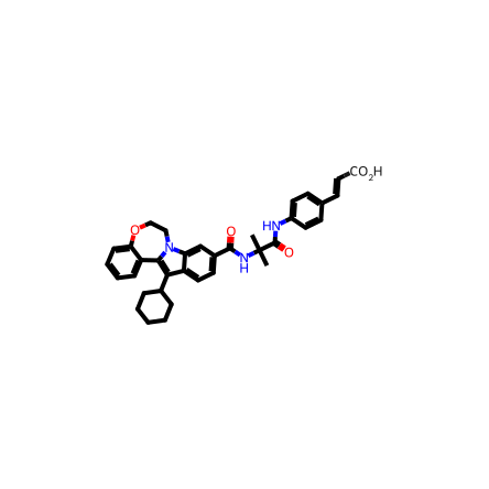 CC(C)(NC(=O)c1ccc2c(C3CCCCC3)c3n(c2c1)CCOc1ccccc1-3)C(=O)Nc1ccc(/C=C/C(=O)O)cc1